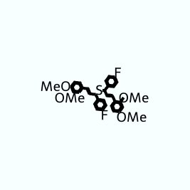 COc1ccc(C=CC(SC(C=Cc2ccc(OC)cc2OC)c2ccc(F)cc2)c2ccc(F)cc2)c(OC)c1